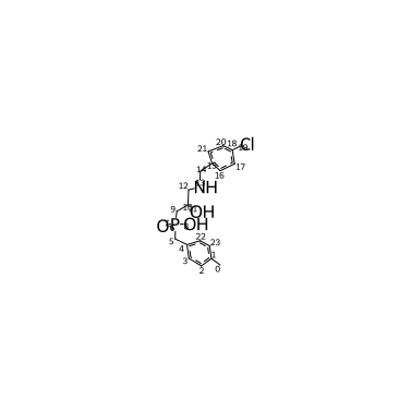 Cc1ccc(CP(=O)(O)C[C@@H](O)CNCc2ccc(Cl)cc2)cc1